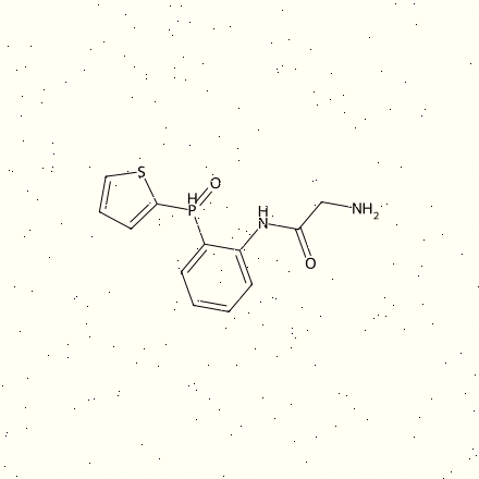 NCC(=O)Nc1ccccc1[PH](=O)c1cccs1